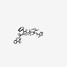 Cn1nnnc1SCC1=C(C(=O)O)N2C(=O)C(NC(=O)C(NC(=O)COc3ccccc3[N+](=O)[O-])c3cccs3)[C@@H]2SC1